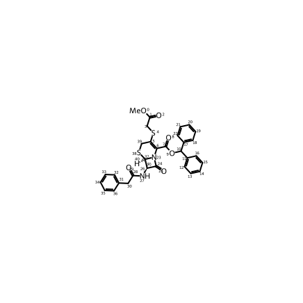 COC(=O)CSC1=C(C(=O)OC(c2ccccc2)c2ccccc2)N2C(=O)[C@@H](NC(=O)Cc3ccccc3)[C@H]2SC1